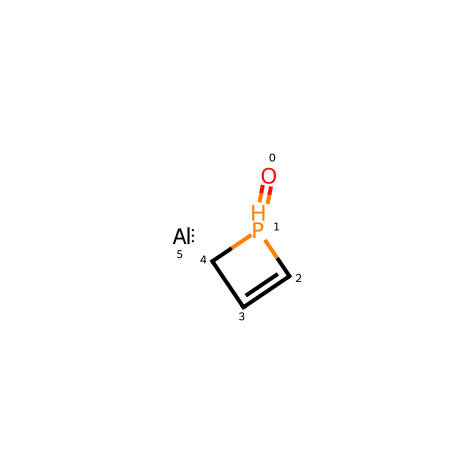 O=[PH]1C=CC1.[Al]